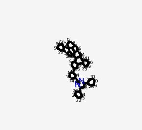 C1=CC2(C3=c4cc5c6ccc(-c7cccc(-c8nc(-c9ccccc9)cc(-c9ccccc9)n8)c7)cc6c6ccccc6c5cc4=CC3=C1)c1ccccc1-c1ccccc12